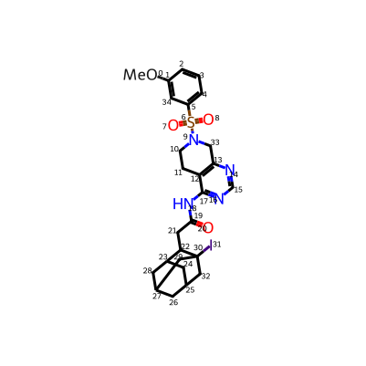 COc1cccc(S(=O)(=O)N2CCc3c(ncnc3NC(=O)CC3C4CC5CC(C4)CC3(I)C5)C2)c1